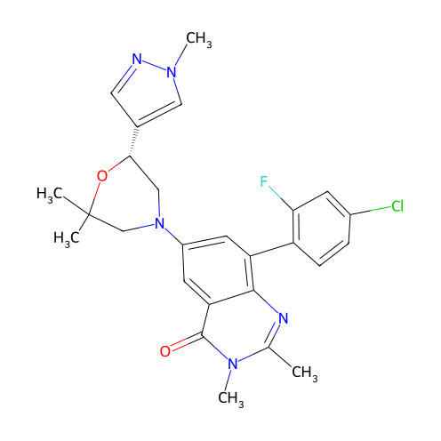 Cc1nc2c(-c3ccc(Cl)cc3F)cc(N3C[C@@H](c4cnn(C)c4)OC(C)(C)C3)cc2c(=O)n1C